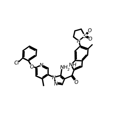 Cc1cc2cc(C(=O)c3cnn(-c4cnc(Oc5ccccc5Cl)cc4C)c3N)[nH]c2cc1N1CCCS1(=O)=O